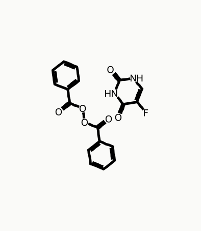 O=C(OOC(=O)c1ccccc1)c1ccccc1.O=c1[nH]cc(F)c(=O)[nH]1